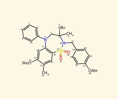 CCCCC1(C)CN(c2ccccc2)c2cc(OC)c(C)cc2S(=O)(=O)N1Cc1ccc(OC)cc1